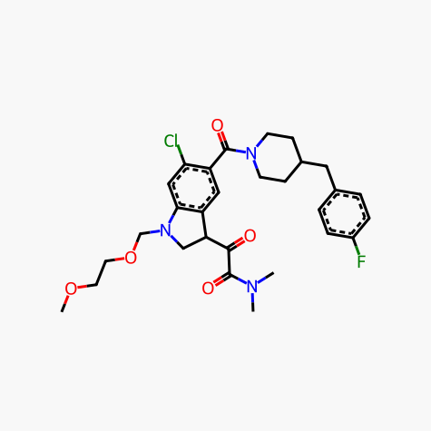 COCCOCN1CC(C(=O)C(=O)N(C)C)c2cc(C(=O)N3CCC(Cc4ccc(F)cc4)CC3)c(Cl)cc21